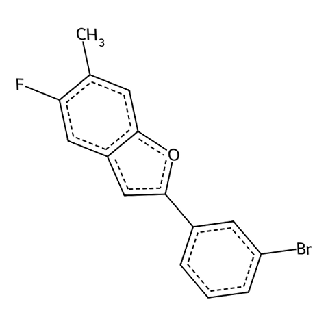 Cc1cc2oc(-c3cccc(Br)c3)cc2cc1F